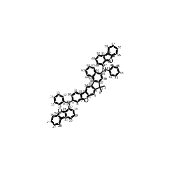 CC1(C)c2cc3oc4cc(N(c5ccccc5)c5cccc6c5oc5ccccc56)ccc4c3cc2-c2c1cc(N(c1ccccc1)c1cccc3c1oc1ccccc13)c1ccccc21